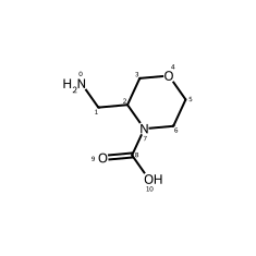 NCC1COCCN1C(=O)O